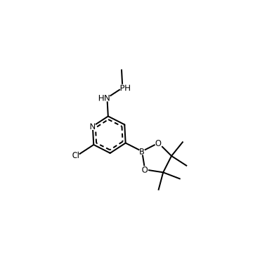 CPNc1cc(B2OC(C)(C)C(C)(C)O2)cc(Cl)n1